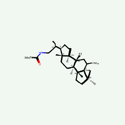 CNC(=O)NC[C@@H](C)[C@H]1CC[C@H]2[C@@H]3CC(OC)[C@@]45C[C@H]4CC[C@]5(C)[C@H]3CC[C@]12C